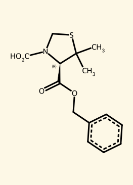 CC1(C)SCN(C(=O)O)[C@@H]1C(=O)OCc1ccccc1